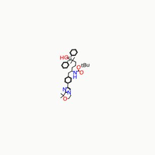 CC(C)(C)OC(=O)NC(CCCC(C)(C)[Si](O)(c1ccccc1)c1ccccc1)Cc1ccc(-c2cn3c(n2)C(C)(C)OCC3)cc1